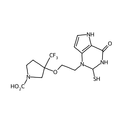 O=C1NC(S)N(CCOC2(C(F)(F)F)CCN(C(=O)O)C2)c2cc[nH]c21